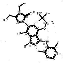 CCn1c(CO)nn(-c2cc(O[C@@H](C)C(F)(F)F)c3c(Nc4c(C)ccnc4C)nn(C)c3c2F)c1=O